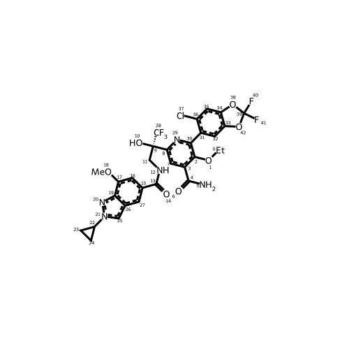 CCOc1c(C(N)=O)cc([C@](O)(CNC(=O)c2cc(OC)c3nn(C4CC4)cc3c2)C(F)(F)F)nc1-c1cc2c(cc1Cl)OC(F)(F)O2